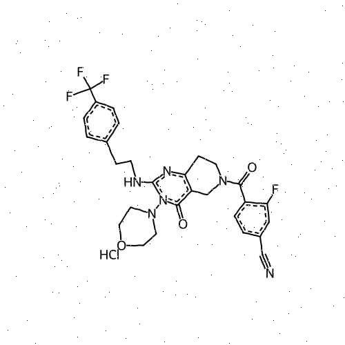 Cl.N#Cc1ccc(C(=O)N2CCc3nc(NCCc4ccc(C(F)(F)F)cc4)n(N4CCOCC4)c(=O)c3C2)c(F)c1